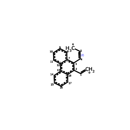 C=Cc1c(/C=C\C)c2ccccc2c2ccccc12